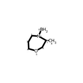 BN1CCCOC[C@H]1C